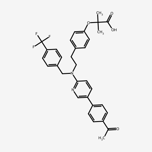 CC(=O)c1ccc(-c2ccc(N(CCc3ccc(OC(C)(C)C(=O)O)cc3)Cc3ccc(C(F)(F)F)cc3)nc2)cc1